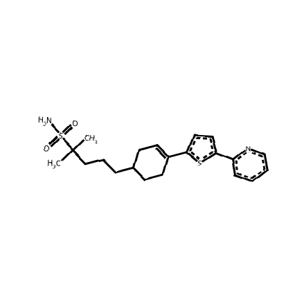 CC(C)(CCCC1CC=C(c2ccc(-c3ccccn3)s2)CC1)S(N)(=O)=O